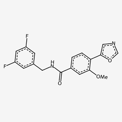 COc1cc(C(=O)NCc2cc(F)cc(F)c2)ccc1-c1cnco1